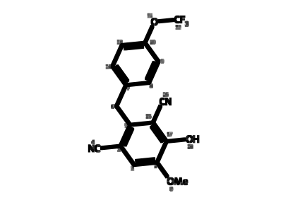 COc1cc(C#N)c(Cc2ccc(OC(F)(F)F)cc2)c(C#N)c1O